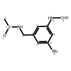 C[S+]([O-])NCc1cc(NC=O)cc(C(C)(C)C)c1